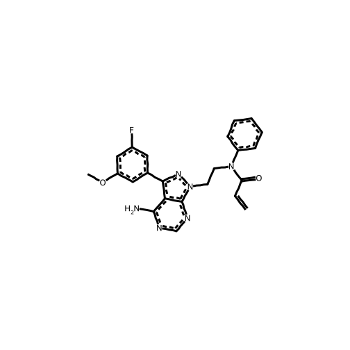 C=CC(=O)N(CCn1nc(-c2cc(F)cc(OC)c2)c2c(N)ncnc21)c1ccccc1